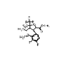 CCC1C(c2ccc(F)c(F)c2OC)C(C(=O)OC)OC1(C)C(F)(F)F